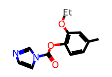 CCOc1cc(C)ccc1OC(=O)n1ccnc1